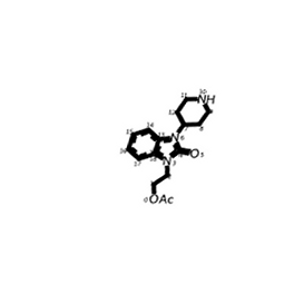 CC(=O)OCCn1c(=O)n(C2CCNCC2)c2ccccc21